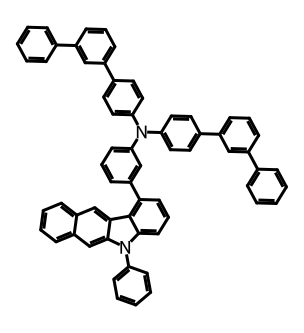 c1ccc(-c2cccc(-c3ccc(N(c4ccc(-c5cccc(-c6ccccc6)c5)cc4)c4cccc(-c5cccc6c5c5cc7ccccc7cc5n6-c5ccccc5)c4)cc3)c2)cc1